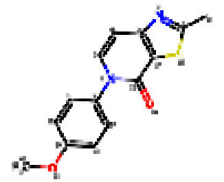 Cc1nc2ccn(-c3ccc(OC(F)(F)F)cc3)c(=O)c2s1